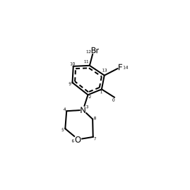 Cc1c(N2CCOCC2)ccc(Br)c1F